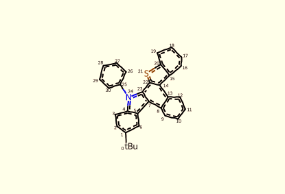 CC(C)(C)c1ccc2c(c1)c1c3ccccc3c3c4ccccc4sc3c1n2-c1ccccc1